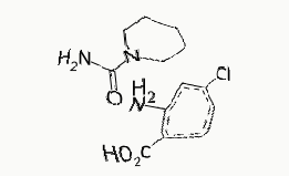 NC(=O)N1CCCCC1.Nc1cc(Cl)ccc1C(=O)O